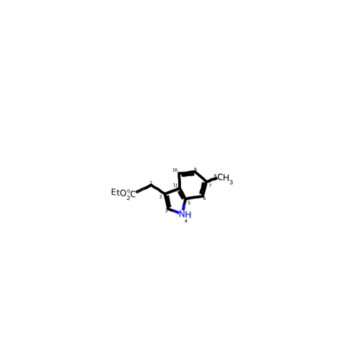 CCOC(=O)Cc1c[nH]c2cc(C)ccc12